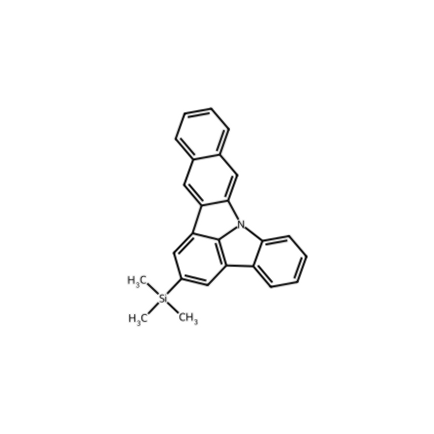 C[Si](C)(C)c1cc2c3ccccc3n3c4cc5ccccc5cc4c(c1)c23